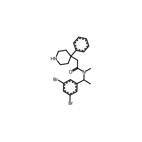 CC(c1cc(Br)cc(Br)c1)N(C)C(=O)CC1(c2ccccc2)CCNCC1